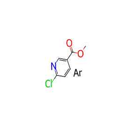 COC(=O)c1ccc(Cl)nc1.[Ar]